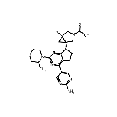 C[C@H]1COCCN1c1nc(-c2cnc(N)nc2)c2c(n1)N([C@@]13C[C@@H]1CN(C(=O)O)C3)CC2